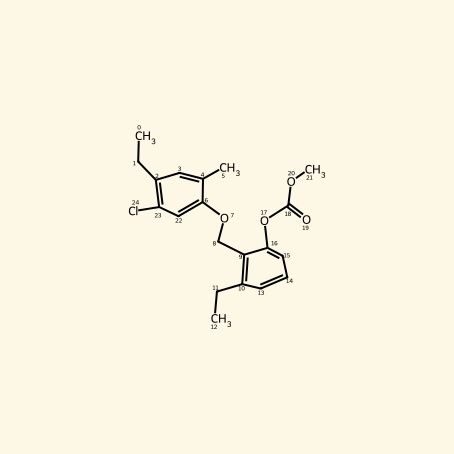 CCc1cc(C)c(OCc2c(CC)cccc2OC(=O)OC)cc1Cl